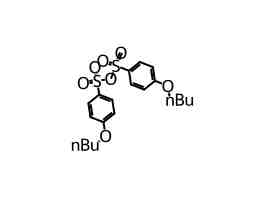 CCCCOc1ccc(S(=O)(=O)OS(=O)(=O)c2ccc(OCCCC)cc2)cc1